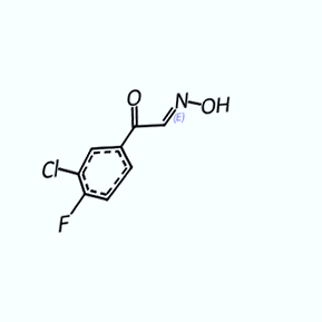 O=C(/C=N/O)c1ccc(F)c(Cl)c1